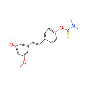 COc1cc(/C=C/c2ccc(OC(=S)N(C)C)cc2)cc(OC)c1